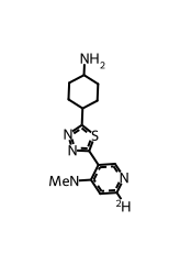 [2H]c1cc(NC)c(-c2nnc(C3CCC(N)CC3)s2)cn1